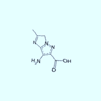 CC1=Nc2c(N)c(C(=O)O)nn2C1